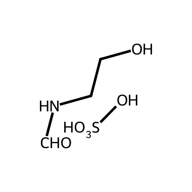 O=CNCCO.O=S(=O)(O)O